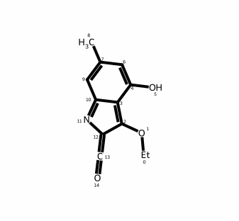 CCOC1=c2c(O)cc(C)cc2=NC1=C=O